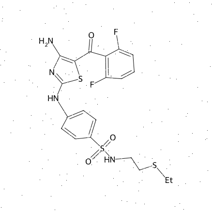 CCSCCNS(=O)(=O)c1ccc(Nc2nc(N)c(C(=O)c3c(F)cccc3F)s2)cc1